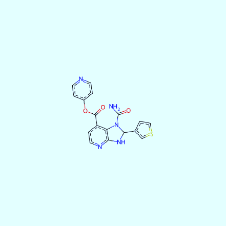 NC(=O)N1c2c(C(=O)Oc3ccncc3)ccnc2NC1c1ccsc1